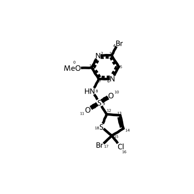 COc1nc(Br)cnc1NS(=O)(=O)C1C=CC(Cl)(Br)S1